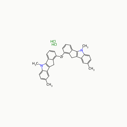 Cc1ccc2c(c1)c1c(n2C)-c2ccc[c]([Zr][c]3cccc4c3Cc3c-4n(C)c4ccc(C)cc34)c2C1.Cl.Cl